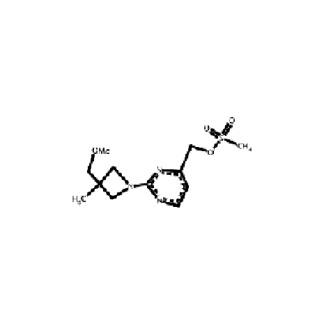 COCC1(C)CN(c2nccc(COS(C)(=O)=O)n2)C1